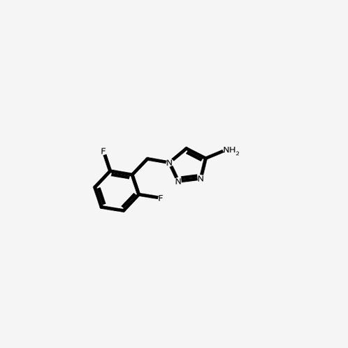 Nc1cn(Cc2c(F)cccc2F)nn1